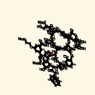 CNCCOc1cc(OCCNC)cc(C(=O)NC(=O)C[C@@H]2NC(=O)[C@H](NC(=O)[C@@H](CC(C)C)NC)[C@H](O)c3ccc4c(c3)C3NC(=O)O[C@H]5[C@H](O)[C@@H](O)[C@H](Oc6c7cc(cc6O4)[C@@H](NC2=O)C(=O)N[C@H]2C(=O)N[C@H](C(=O)N[C@H](C(=O)NC4C6CC8CC(C6)CC4C8)c4cc(O)cc(O)c4-c4cc2ccc4O)[C@H](O)c2ccc(c(Cl)c2)O7)O[C@H]35)c1